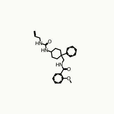 C=CCNC(=O)NC1CCC(CNC(=O)c2ccccc2OC)(c2ccccc2)CC1